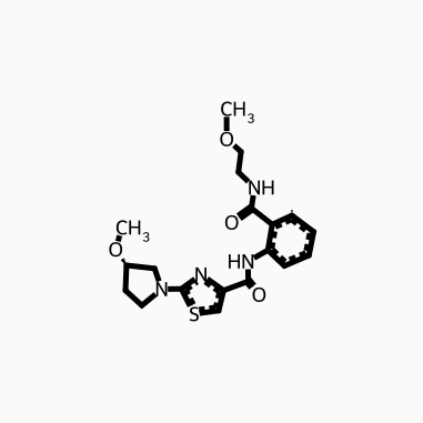 COCCNC(=O)c1[c]cccc1NC(=O)c1csc(N2CC[C@H](OC)C2)n1